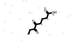 CCC(=S)C(=S)CCCC(=O)O